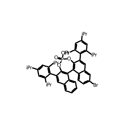 CC(C)c1cc(C(C)C)c(-c2cc3ccccc3c3c2OP(=O)(O)Oc2c(-c4c(C(C)C)cc(C(C)C)cc4C(C)C)cc4cc(Br)ccc4c2-3)c(C(C)C)c1